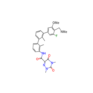 CNCc1c(F)cc(-c2cccc(-c3cccc(NC(=O)c4nn(C)c(=O)n(C)c4=O)c3C)c2C)cc1OC